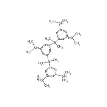 C[SiH](C)c1cc([SiH](C)C)cc([Si](C)(C)c2cc([SiH](C)C)cc([Si](C)(C)c3cc([SiH](C)C)cc([SiH](C)C)c3)c2)c1